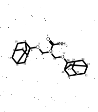 NC(=O)N(COC1C2CC3CC(C2)CC1C3)COC1C2CC3CC(C2)CC1C3